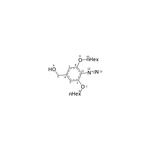 CCCCCCOc1cc(CO)cc(OCCCCCC)c1[N+]#N